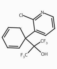 OC(C(F)(F)F)(C(F)(F)F)C1(c2cccnc2Cl)[CH]C=CC=C1